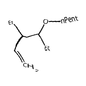 C=CC(CC)C(CC)OCCCCC